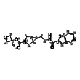 CC1(OC(=O)N2CC3C(CCNC(=O)c4cc5cnccc5s4)C3C2)COC1